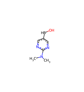 CN(C)c1ncc(BO)cn1